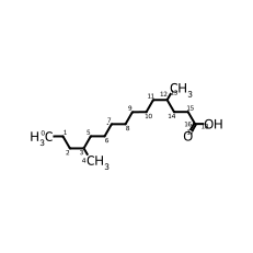 CCCC(C)CC[CH]CCCCC(C)CCC(=O)O